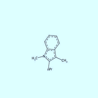 CCCc1c(C)c2ccccc2n1C